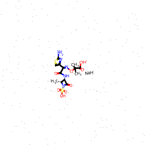 C[C@@H]1[C@H](NC(=O)/C(=N\OC(C)(C)C(=O)O)c2csc(N)n2)C(=O)N1S(=O)(=O)O.[NaH]